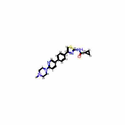 CN1CCN(c2ccc(-c3ccc(-c4csc(NC(=O)C5CC5)n4)cc3)cn2)CC1